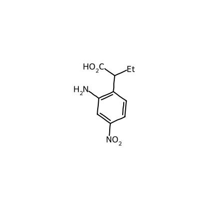 CCC(C(=O)O)c1ccc([N+](=O)[O-])cc1N